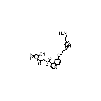 N#CC1CC(F)(F)CN1C(=O)CNC(=O)c1ccnc2ccc(OCCCn3cc(CCN)nn3)cc12